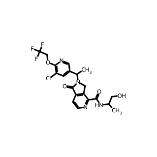 CC(CO)NC(=O)c1nccc2c1CN(C(C)c1cnc(OCC(F)(F)F)c(Cl)c1)C2=O